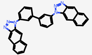 c1cc(-c2cccc(-n3nnc4cc5ccccc5cc43)c2)cc(-n2nnc3cc4ccccc4cc32)c1